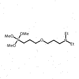 CCN(CC)CCCOCCC[Si](OC)(OC)OC